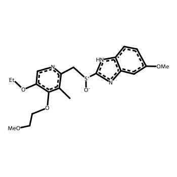 CCOc1cnc(C[S+]([O-])c2nc3cc(OC)ccc3[nH]2)c(C)c1OCCOC